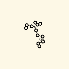 c1cc(-c2ccc(N(c3ccc(-c4cccc5ccccc45)cc3)c3cc4ccccc4c4ccccc34)cc2)cc(-c2cccc3c2oc2c(-c4cccc5ccccc45)cccc23)c1